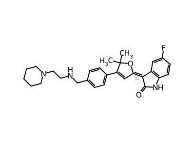 CC1(C)O/C(=C2/C(=O)Nc3ccc(F)cc32)C=C1c1ccc(CNCCN2CCCCC2)cc1